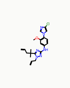 C=CCn1nc(Nc2ccc(-n3cnc(Cl)c3)c(OC)c2)nc1C(C)(C)CC=C